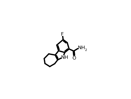 NC(=O)c1cc(F)cc2c3c([nH]c12)CCCCC3